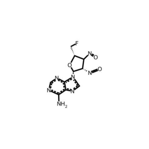 Nc1ncnc2c1ncn2[C@@H]1O[C@H](CF)C(N=O)[C@@H]1N=O